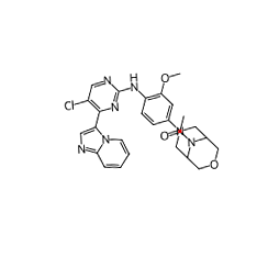 COc1cc(N2CC3COCC(C2)N3C(C)=O)ccc1Nc1ncc(Cl)c(-c2cnc3ccccn23)n1